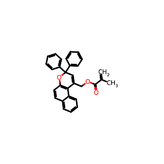 C=C(C)C(=O)OCC1=CC(c2ccccc2)(c2ccccc2)Oc2ccc3ccccc3c21